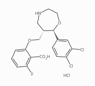 Cl.O=C(O)c1c(F)cccc1OC[C@@H]1CNCCO[C@H]1c1ccc(Cl)c(Cl)c1